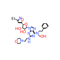 CCc1cc([C@H]2O[C@@H](n3cnc4c(N(CO)CCc5ccccc5)nc(NCCN5CCOCC5)nc43)[C@H](O)[C@@H]2O)on1